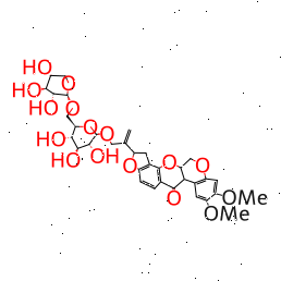 C=C(CO[C@@H]1O[C@H](CO[C@@H]2OC[C@H](O)[C@H](O)[C@H]2O)[C@@H](O)[C@H](O)[C@H]1O)C1Cc2c(ccc3c2OC2COc4cc(OC)c(OC)cc4C2C3=O)O1